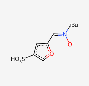 CCC(C)[N+]([O-])=Cc1cc(S(=O)(=O)O)co1